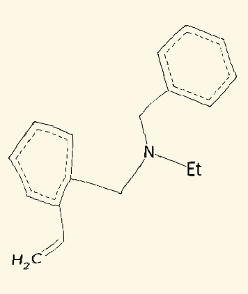 C=Cc1ccccc1CN(CC)Cc1ccccc1